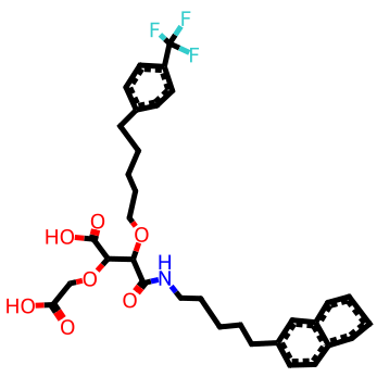 O=C(O)COC(C(=O)O)C(OCCCCCc1ccc(C(F)(F)F)cc1)C(=O)NCCCCCc1ccc2ccccc2c1